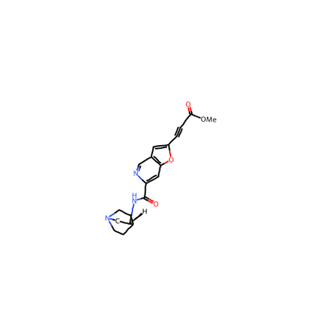 COC(=O)C#Cc1cc2cnc(C(=O)N[C@H]3CN4CCC3CC4)cc2o1